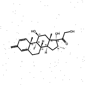 C=C1C=C[C@@]2(C)C(=C1)CC[C@H]1[C@@H]3C[C@@H](C)[C@](O)(C(=O)CO)[C@@]3(C)C[C@H](O)[C@@]12F